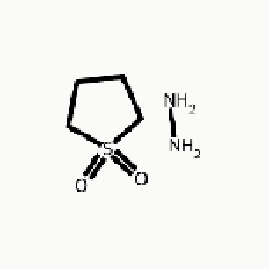 NN.O=S1(=O)CCCC1